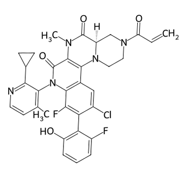 C=CC(=O)N1CCN2c3c(c(=O)n(-c4c(C)ccnc4C4CC4)c4c(F)c(-c5c(O)cccc5F)c(Cl)cc34)N(C)C(=O)[C@H]2C1